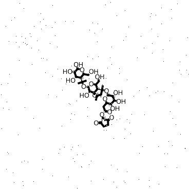 CCCC(C)(O[C@@H]1OC(CC(=O)ON2C(=O)CCC2=O)[C@@H](O)C(O)[C@@H]1O)[C@@H]1C(CO)O[C@@H](OC(C)(C)[C@@H]2C(CO)OC(O)[C@@H](O)C2O)[C@@H](O)C1O